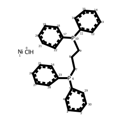 Cl.[Ni].c1ccc(P(CCCP(c2ccccc2)c2ccccc2)c2ccccc2)cc1